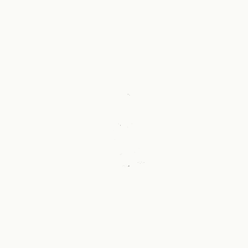 COc1ccc2c3c(ccc(OC)c13)C(=O)N(OCCN1CCOCC1)C2=O